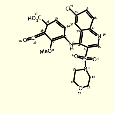 COC1=C(Nc2c(S(=O)(=O)N3CCOCC3)cnc3ccc(Cl)cc23)C=CC(C(=O)O)C1=C=O